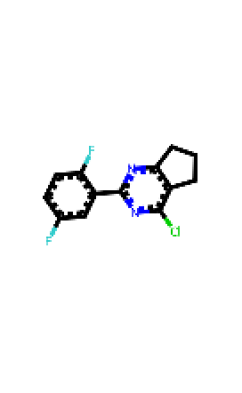 Fc1ccc(F)c(-c2nc(Cl)c3c(n2)CCC3)c1